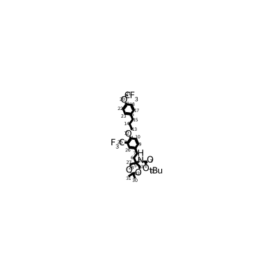 CC(C)(C)OC(=O)NC1(CCc2ccc(OCCCc3ccc(OC(F)(F)F)cc3)c(C(F)(F)F)c2)COC(C)(C)OC1